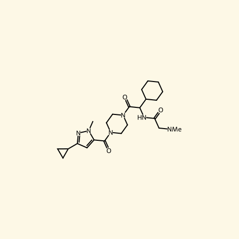 CNCC(=O)NC(C(=O)N1CCN(C(=O)c2cc(C3CC3)nn2C)CC1)C1CCCCC1